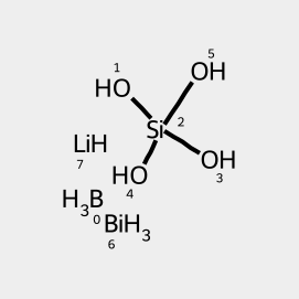 B.O[Si](O)(O)O.[BiH3].[LiH]